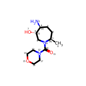 C[C@@H]1CC[C@H](N)[C@@H](O)CN1C(=O)N1CCOCC1